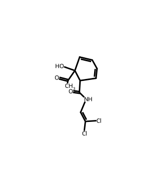 CC(=O)C1(O)C=CC=CC1C(=O)NC=C(Cl)Cl